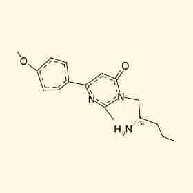 CCC[C@H](N)Cn1c(C)nc(-c2ccc(OC)cc2)cc1=O